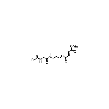 COC(=O)C=CC(=O)OCCCNC(=O)CNC(=O)C(C)C